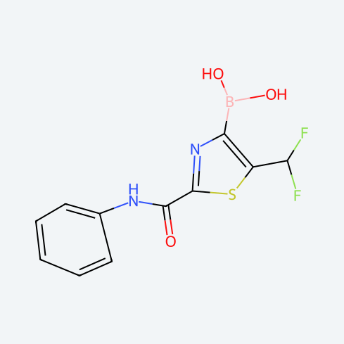 O=C(Nc1ccccc1)c1nc(B(O)O)c(C(F)F)s1